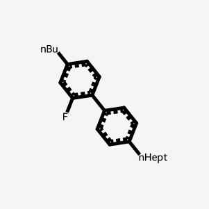 CCCCCCCc1ccc(-c2ccc(CCCC)cc2F)cc1